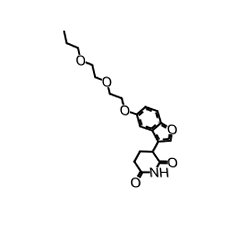 CCCOCCOCCOc1ccc2occ(C3CCC(=O)NC3=O)c2c1